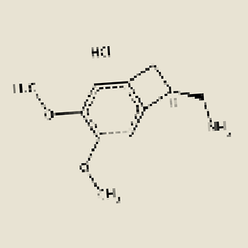 COc1cc2c(cc1OC)[C@H](CN)C2.Cl